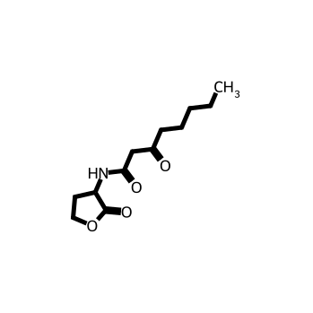 CCCCCC(=O)CC(=O)NC1CCOC1=O